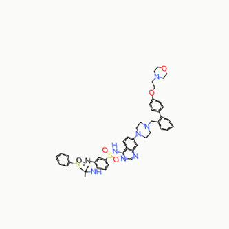 CC(C)(CSc1ccccc1)Nc1ccc(S(=O)(=O)Nc2ncnc3cc(N4CCN(Cc5ccccc5-c5ccc(OCCN6CCOCC6)cc5)CC4)ccc23)cc1[N+](=O)[O-]